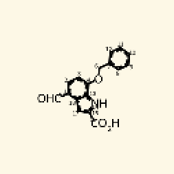 O=Cc1ccc(OCc2ccccc2)c2[nH]c(C(=O)O)cc12